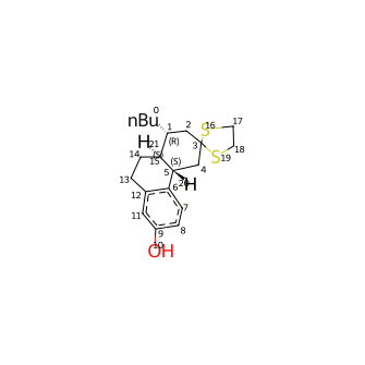 CCCC[C@@H]1CC2(C[C@@H]3c4ccc(O)cc4CC[C@@H]13)SCCS2